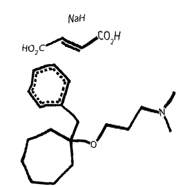 CN(C)CCCOC1(Cc2ccccc2)CCCCCC1.O=C(O)/C=C/C(=O)O.[NaH]